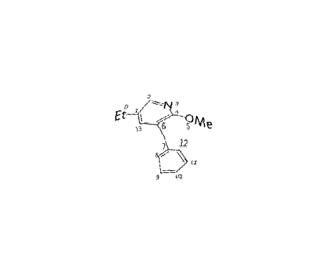 CCc1cnc(OC)c(-c2ccccc2)c1